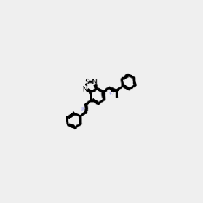 C/C(=C\c1ccc(/C=C/C2C=CC=CC2)c2nsnc12)c1ccccc1